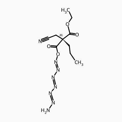 CCC[C@@](CC#N)(C(=O)OCC)C(=O)ON=NN=NN=NN